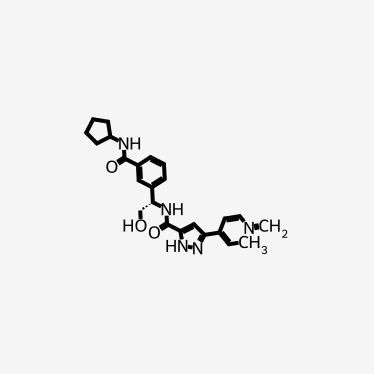 C=N/C=C\C(=C/C)c1cc(C(=O)N[C@H](CO)c2cccc(C(=O)NC3CCCC3)c2)[nH]n1